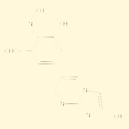 C=Nc1c(C)cc(-c2cnc3nc(C)cn3c2)cc1C=O